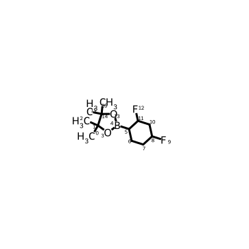 CC1(C)OB(C2CCC(F)CC2F)OC1(C)C